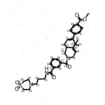 COC(=O)c1ccc(C2=CC[C@]3(C)CN(C(=O)c4cccc(C(=O)NCCCN5CCS(=O)(=O)CC5)c4)CC=C3C2(C)C)cc1